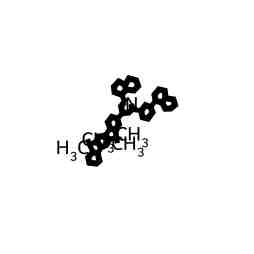 CC1(C)c2ccccc2-c2cc3c(cc21)-c1ccc(-c2cc(-c4cccc(-c5cccc6ccccc56)c4)nc(-c4cccc5ccccc45)c2)cc1C3(C)C